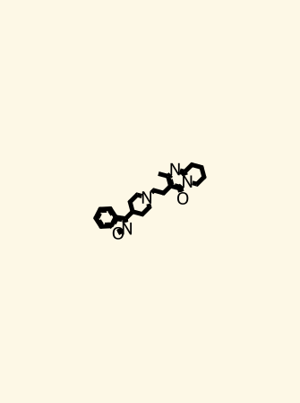 Cc1nc2n(c(=O)c1CCN1CCC(c3noc4ccccc34)CC1)CCCC2